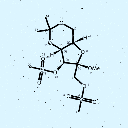 CO[C@]1(COS(C)(=O)=O)O[C@H]2COC(C)(C)O[C@H]2[C@@H]1OS(C)(=O)=O